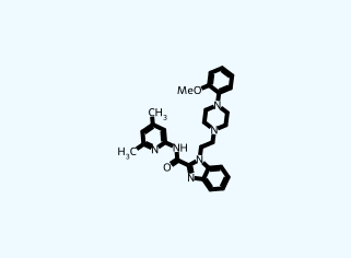 COc1ccccc1N1CCN(CCn2c(C(=O)Nc3cc(C)cc(C)n3)nc3ccccc32)CC1